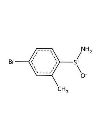 Cc1cc(Br)ccc1[S+](N)[O-]